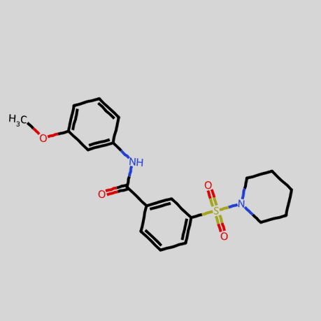 COc1cccc(NC(=O)c2cccc(S(=O)(=O)N3CCCCC3)c2)c1